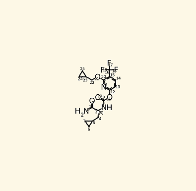 NC(=O)[C@H](CC1CC1)NC(=O)Oc1ccc(C(F)(F)F)c(OCC2CC2)n1